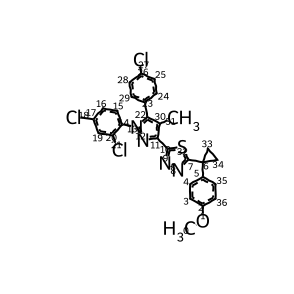 COc1ccc(C2(c3nnc(-c4nn(-c5ccc(Cl)cc5Cl)c(-c5ccc(Cl)cc5)c4C)s3)CC2)cc1